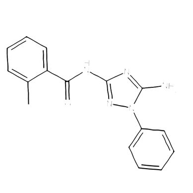 Cc1ccccc1C(=O)Nc1nc(N)n(-c2ccccc2)n1